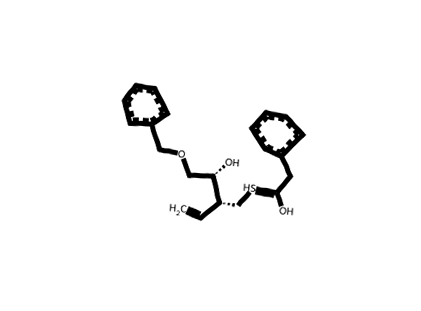 C=C[C@@H](C[SH]=C(O)Cc1ccccc1)[C@@H](O)COCc1ccccc1